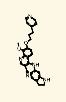 COc1c(OCCCc2ccncc2)ccc2c(Nc3ccc4c(c3)NCC4)c(C#N)cnc12